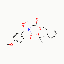 COc1ccc(C2OC[C@@H](C(=O)OCc3ccccc3)N2C(=O)OC(C)(C)C)cc1